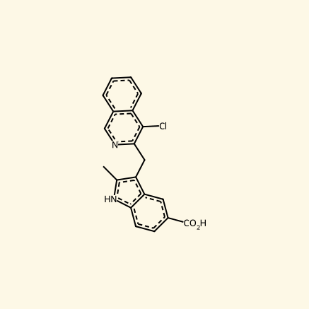 Cc1[nH]c2ccc(C(=O)O)cc2c1Cc1ncc2ccccc2c1Cl